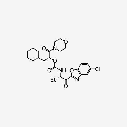 CC[C@H](NC(=O)O[C@@H](CC1CCCCC1)C(=O)N1CCOCC1)C(=O)c1nc2cc(Cl)ccc2o1